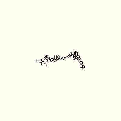 Cc1ncsc1-c1ccc([C@H](C)NC(=O)[C@@H]2CCCN2C(=O)C(C(C)C)n2cc(OCCCOCCC(O)CCOc3ccc(N4C(=S)N(c5ccc(C#N)c(C(F)(F)F)c5)C(=O)C4(C)C)cc3)cn2)cc1